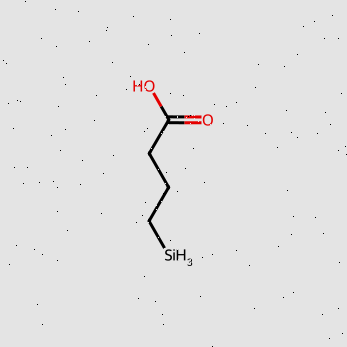 O=C(O)CCC[SiH3]